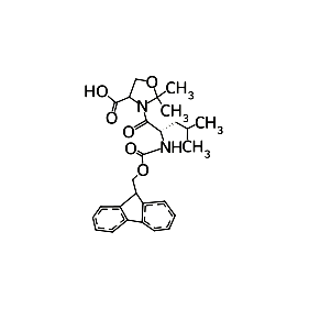 CC(C)C[C@H](NC(=O)OCC1c2ccccc2-c2ccccc21)C(=O)N1C(C(=O)O)COC1(C)C